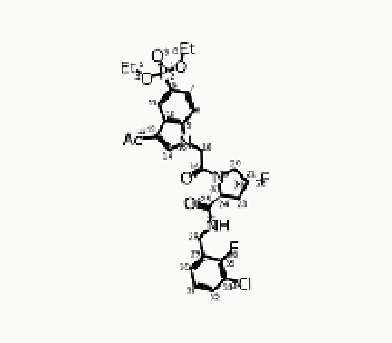 CCOP(=O)(OCC)c1ccc2c(c1)c(C(C)=O)cn2CC(=O)N1C[C@H](F)C[C@H]1C(=O)NCc1cccc(Cl)c1F